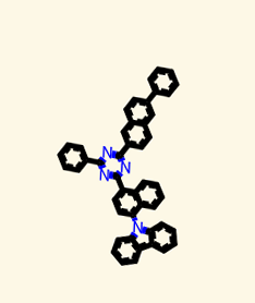 c1ccc(-c2ccc3cc(-c4nc(-c5ccccc5)nc(-c5ccc(-n6c7ccccc7c7ccccc76)c6ccccc56)n4)ccc3c2)cc1